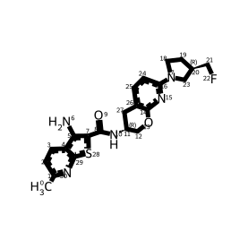 Cc1ccc2c(N)c(C(=O)N[C@H]3COc4nc(N5CC[C@@H](CF)C5)ccc4C3)sc2n1